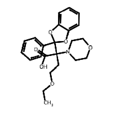 CCOCCC(C(=O)O)(N1CCOCC1)C1(c2ccccc2)Oc2ccccc2O1